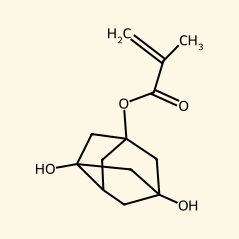 C=C(C)C(=O)OC12CC3CC(O)(C1)CC3(O)C2